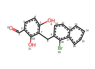 O=Cc1ccc(O)c(Cc2ccc3ccccc3c2Br)c1O